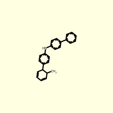 CC1C=CC=CC1c1ccc(Nc2ccc(-c3ccccc3)cc2)cc1